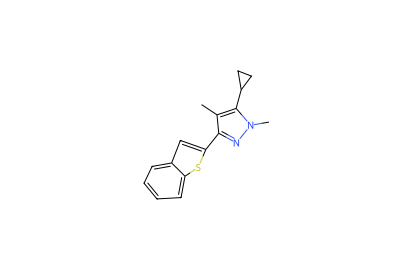 Cc1c(-c2cc3ccccc3s2)nn(C)c1C1CC1